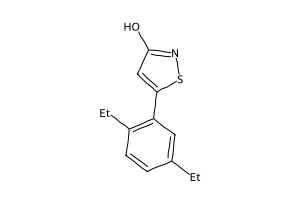 CCc1ccc(CC)c(-c2cc(O)ns2)c1